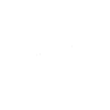 CC=C(C)C.[CH]